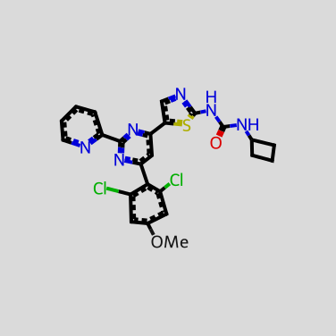 COc1cc(Cl)c(-c2cc(-c3cnc(NC(=O)NC4CCC4)s3)nc(-c3ccccn3)n2)c(Cl)c1